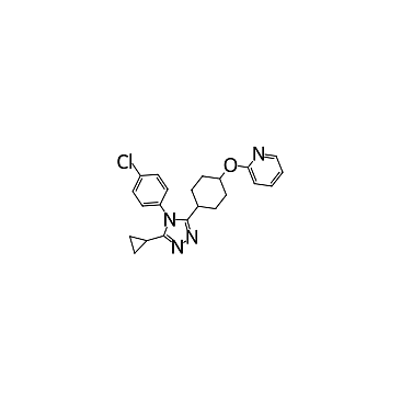 Clc1ccc(-n2c(C3CCC(Oc4ccccn4)CC3)nnc2C2CC2)cc1